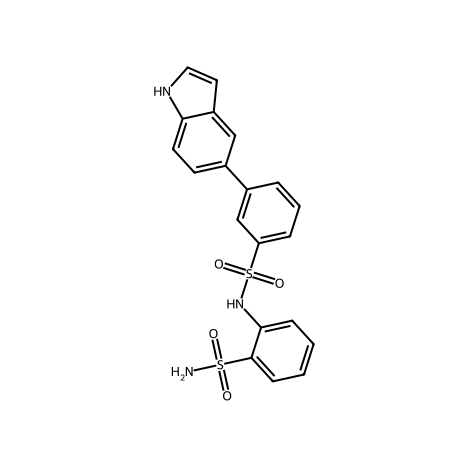 NS(=O)(=O)c1ccccc1NS(=O)(=O)c1cccc(-c2ccc3[nH]ccc3c2)c1